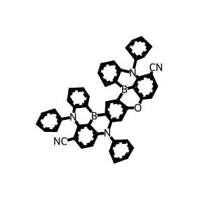 N#Cc1ccc2c3c1N(c1ccccc1)c1ccccc1B3c1cc3c(cc1O2)N(c1ccccc1)c1ccc(C#N)c2c1B3c1ccccc1N2c1ccccc1